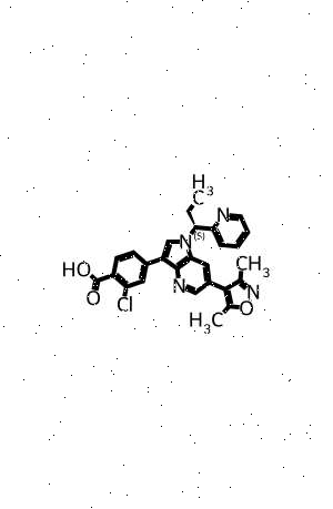 CC[C@@H](c1ccccn1)n1cc(-c2ccc(C(=O)O)c(Cl)c2)c2ncc(-c3c(C)noc3C)cc21